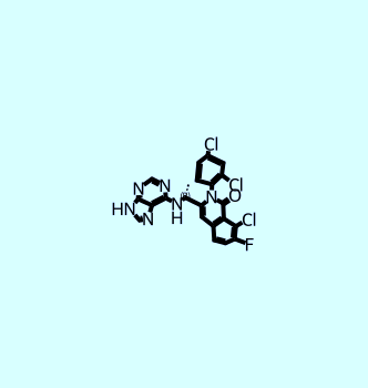 C[C@@H](Nc1ncnc2[nH]cnc12)c1cc2ccc(F)c(Cl)c2c(=O)n1-c1ccc(Cl)cc1Cl